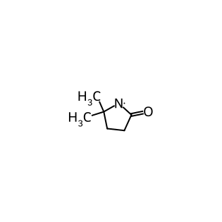 CC1(C)CCC(=O)[N]1